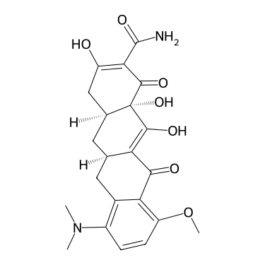 COc1ccc(N(C)C)c2c1C(=O)C1=C(O)[C@]3(O)C(=O)C(C(N)=O)=C(O)C[C@@H]3C[C@@H]1C2